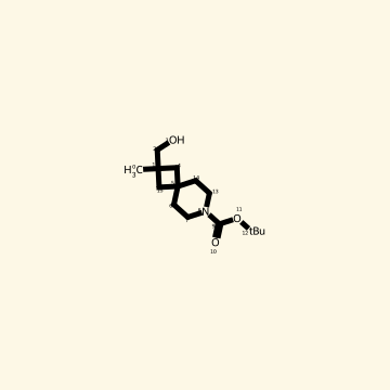 CC1(CO)CC2(CCN(C(=O)OC(C)(C)C)CC2)C1